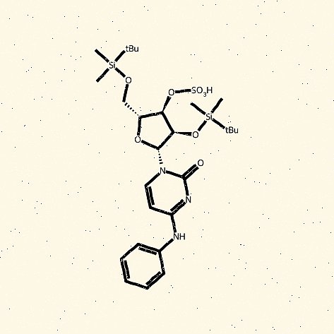 CC(C)(C)[Si](C)(C)OC[C@H]1O[C@@H](n2ccc(Nc3ccccc3)nc2=O)[C@H](O[Si](C)(C)C(C)(C)C)[C@@H]1OS(=O)(=O)O